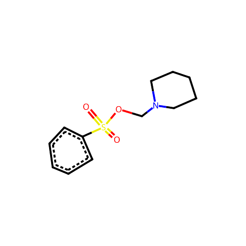 O=S(=O)(OCN1CCCCC1)c1ccccc1